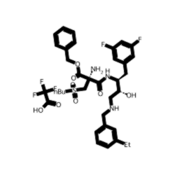 CCCCS(=O)(=O)C[C@](N)(C(=O)N[C@@H](Cc1cc(F)cc(F)c1)[C@H](O)CNCc1cccc(CC)c1)C(=O)OCc1ccccc1.O=C(O)C(F)(F)F